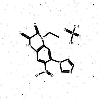 CCn1c(=O)c(=O)[nH]c2cc([N+](=O)[O-])c(-n3ccnc3)cc21.O=S(=O)(O)O